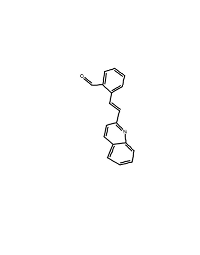 O=Cc1ccccc1/C=C/c1ccc2ccccc2n1